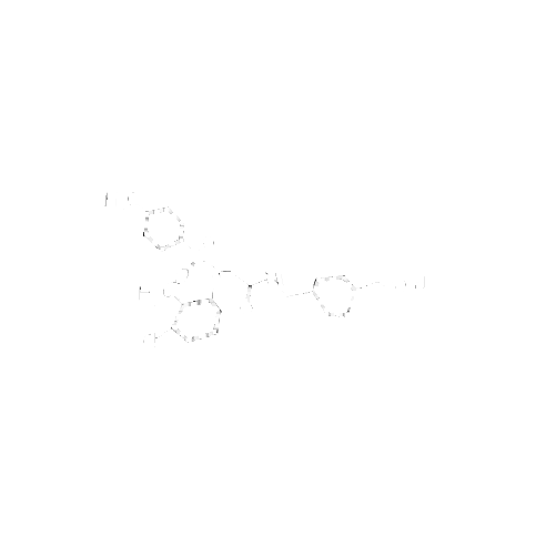 Cc1ccc(S(=O)(=O)N(CC(=O)NCc2ccc(CC(=O)O)cc2)c2cccc(Cl)c2C)cc1